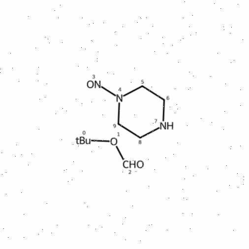 CC(C)(C)OC=O.O=NN1CCNCC1